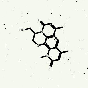 Cc1cc(=O)n(C)c2c3c4c(cc12)c(C)cc(=O)n4C(CO)CO3